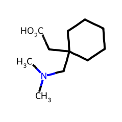 CN(C)CC1(CC(=O)O)CCCCC1